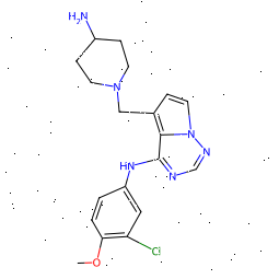 COc1ccc(Nc2ncnn3ccc(CN4CCC(N)CC4)c23)cc1Cl